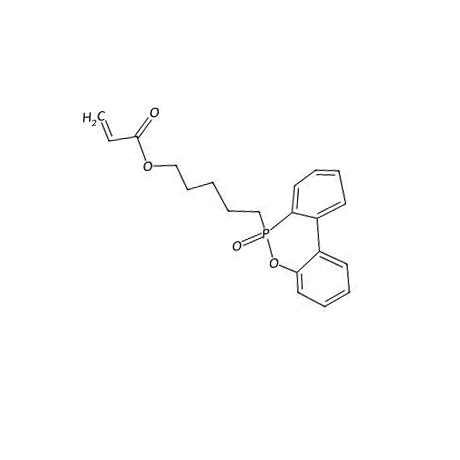 C=CC(=O)OCCCCCP1(=O)Oc2ccccc2-c2ccccc21